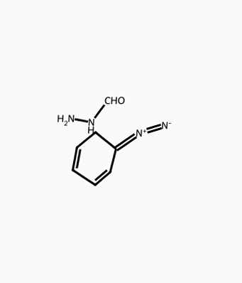 NNC=O.[N-]=[N+]=C1C=CC=CC1